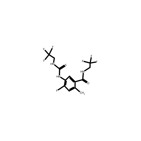 Cc1cc(F)c(NC(=S)NCC(F)(F)F)cc1C(=O)NCC(F)(F)F